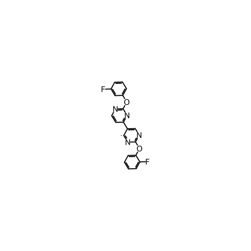 Fc1cccc(Oc2nccc(-c3[c]nc(Oc4ccccc4F)nc3)n2)c1